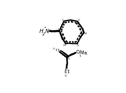 CCC(=O)OC.Nc1ccccc1